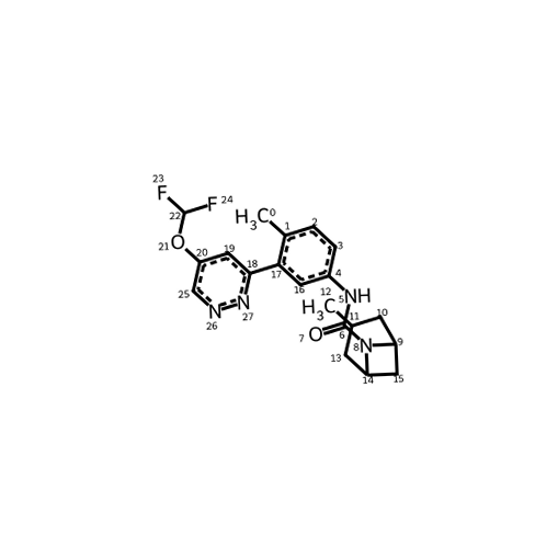 Cc1ccc(NC(=O)N2C3CC(C)CC2C3)cc1-c1cc(OC(F)F)cnn1